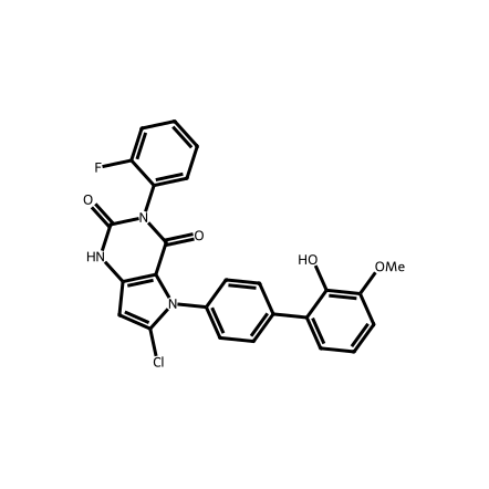 COc1cccc(-c2ccc(-n3c(Cl)cc4[nH]c(=O)n(-c5ccccc5F)c(=O)c43)cc2)c1O